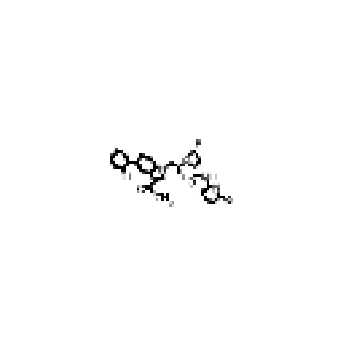 CC(=O)c1cn(CC(=O)N2C[C@H](F)C[C@H]2C(=O)Nc2cccc(Br)n2)c2ccc(-c3ccccc3Cl)cc12